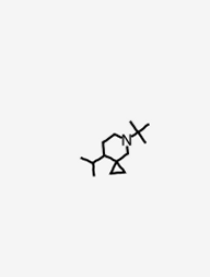 CC(C)C1CCN(C(C)(C)C)CC12CC2